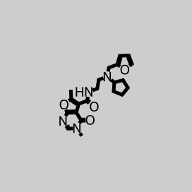 Cc1oc2ncn(C)c(=O)c2c1C(=O)NCCN(Cc1ccco1)C1CCCC1